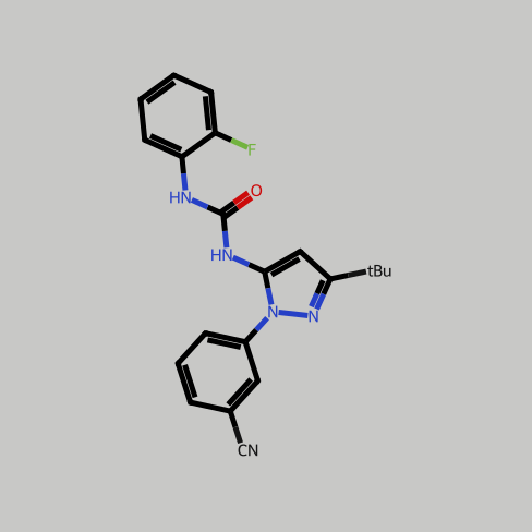 CC(C)(C)c1cc(NC(=O)Nc2ccccc2F)n(-c2cccc(C#N)c2)n1